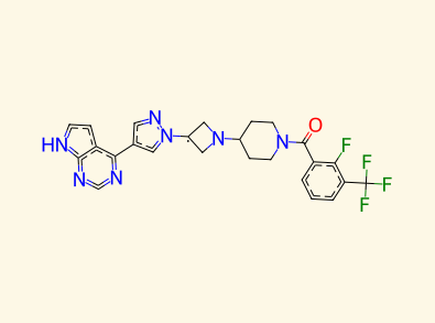 O=C(c1cccc(C(F)(F)F)c1F)N1CCC(N2C[C](n3cc(-c4ncnc5[nH]ccc45)cn3)C2)CC1